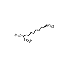 CCCCCCCCCCCCCCCCC(OC)C(=O)O